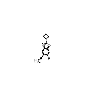 C#Cc1cc2nc(C3CCC3)oc2cc1F